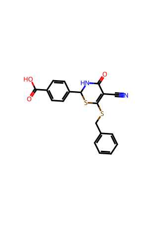 N#CC1=C(SCc2ccccc2)SC(c2ccc(C(=O)O)cc2)NC1=O